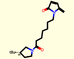 C=C1C=CC(=O)N1CCCCCCC(=O)N1CC[C@H](C(C)(C)C)C1